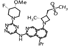 CO[C@@H]1CCN(c2nncc(Nc3cc4c(C(C)C)ccc(N5C[C@H](CS(C)(=O)=O)[C@H]5C)c4cn3)n2)C[C@@H]1F